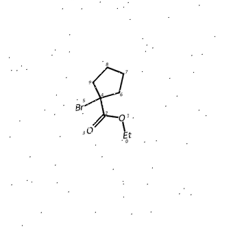 CCOC(=O)C1(Br)CCCC1